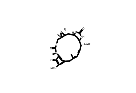 COc1cc2cc(c1Cl)N(C)C(=O)CC[C@]1(C)O[C@H]1C[C@@H]1CC(NC(=O)O1)[C@H](OC)/C=C/C=C(\C)C2